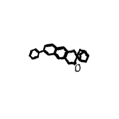 O=C1Cc2cc3cc(-c4ccccc4)ccc3cc2CC12CC1=CCC2C1